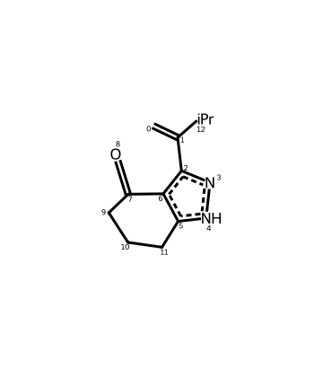 C=C(c1n[nH]c2c1C(=O)CCC2)C(C)C